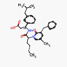 CCCCC(C(=O)N[C@@H](CC(=O)O)c1cccc(CC(C)C)c1)n1cc(C)cc(Cc2ccccc2)c1=O